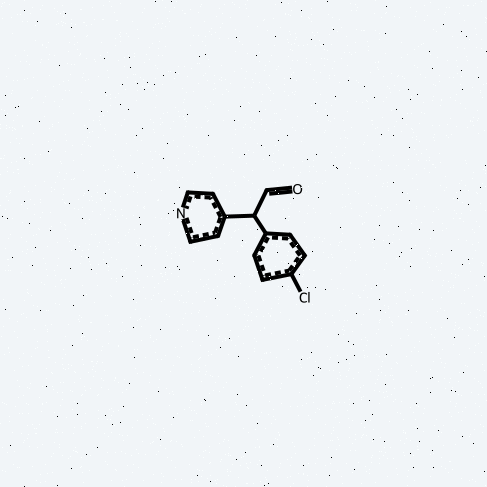 O=CC(c1ccncc1)c1ccc(Cl)cc1